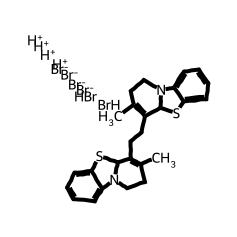 Br.Br.CC1=C(CCC2=C(C)CCN3c4ccccc4SC23)C2Sc3ccccc3N2CC1.[Br-].[Br-].[Br-].[Br-].[H+].[H+].[H+].[H+]